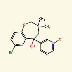 CC1(C)COc2ccc(Br)cc2C(O)(c2ccc[n+]([O-])c2)C1